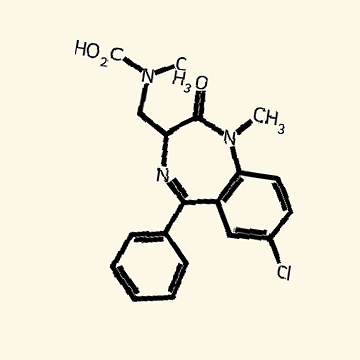 CN(CC1N=C(c2ccccc2)c2cc(Cl)ccc2N(C)C1=O)C(=O)O